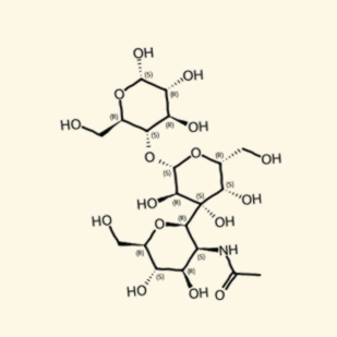 CC(=O)N[C@H]1[C@@H](O)[C@H](O)[C@@H](CO)O[C@H]1[C@@]1(O)[C@@H](O)[C@H](O[C@H]2[C@H](O)[C@@H](O)[C@@H](O)O[C@@H]2CO)O[C@H](CO)[C@@H]1O